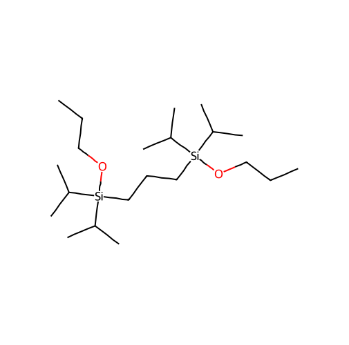 CCCO[Si](CCC[Si](OCCC)(C(C)C)C(C)C)(C(C)C)C(C)C